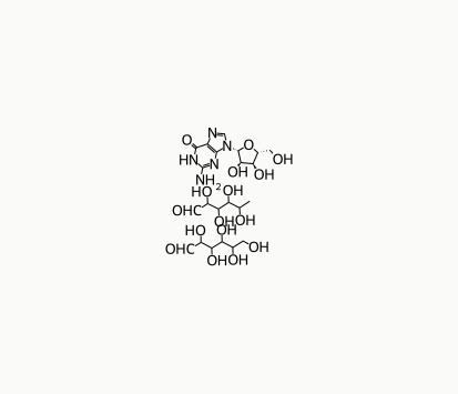 CC(O)C(O)C(O)C(O)C=O.Nc1nc2c(ncn2[C@@H]2O[C@H](CO)[C@@H](O)[C@H]2O)c(=O)[nH]1.O=CC(O)C(O)C(O)C(O)CO